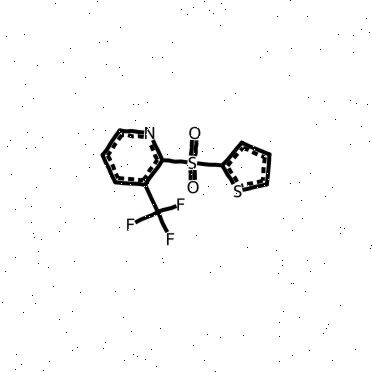 O=S(=O)(c1cccs1)c1ncccc1C(F)(F)F